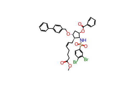 COC(=O)CCC/C=C\C[C@@H]1[C@@H](NS(=O)(=O)c2ccc(Br)c(Br)c2)[C@H](OC(=O)c2ccccc2)C[C@H]1OCc1ccc(-c2ccccc2)cc1